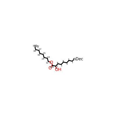 CCCCCCCCCCCCCCCCC(O)C(=O)OCCCCCCCC(C)C